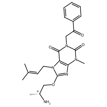 CC(C)=CCn1c(OC[C@@H](C)N)nc2c1c(=O)n(CC(=O)c1ccccc1)c(=O)n2C